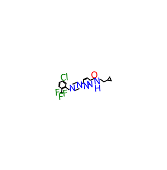 O=C(NCCC1CC1)c1ccc(N2CCN(Cc3cc(Cl)ccc3C(F)(F)F)CC2)nn1